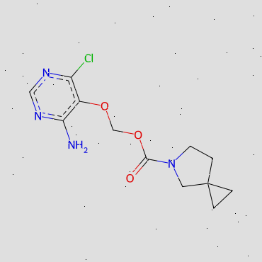 Nc1ncnc(Cl)c1OCOC(=O)N1CCC2(CC2)C1